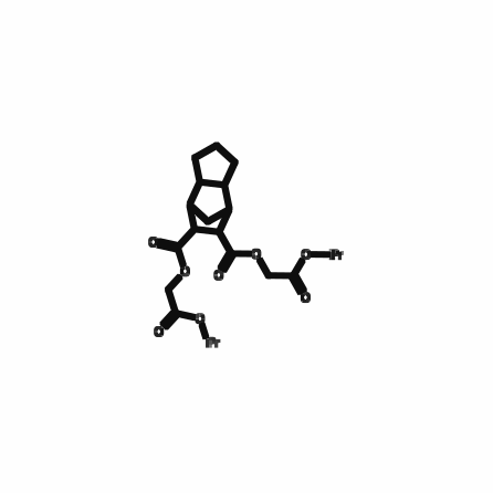 CC(C)OC(=O)COC(=O)C1C2CC(C3CCCC32)C1C(=O)OCC(=O)OC(C)C